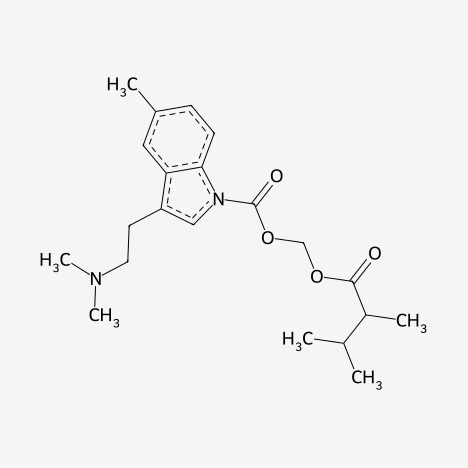 Cc1ccc2c(c1)c(CCN(C)C)cn2C(=O)OCOC(=O)C(C)C(C)C